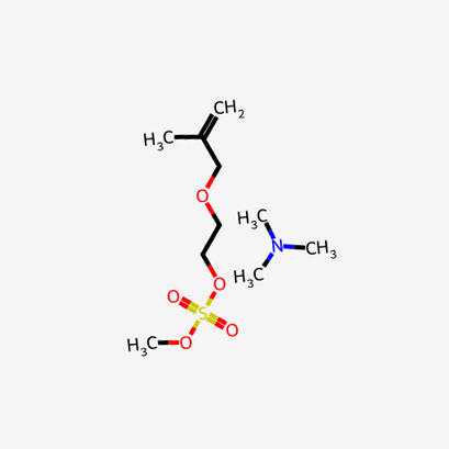 C=C(C)COCCOS(=O)(=O)OC.CN(C)C